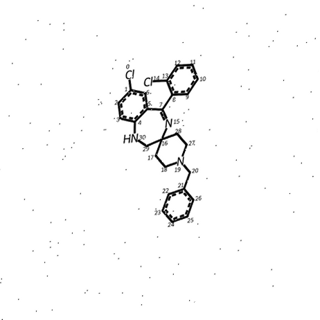 Clc1ccc2c(c1)C(c1ccccc1Cl)=NC1(CCN(Cc3ccccc3)CC1)CN2